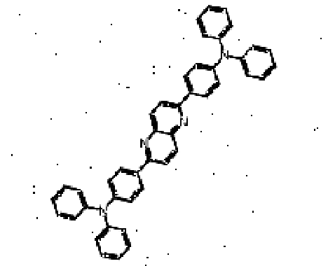 c1ccc(N(c2ccccc2)c2ccc(-c3ccc4nc(-c5ccc(N(c6ccccc6)c6ccccc6)cc5)ccc4n3)cc2)cc1